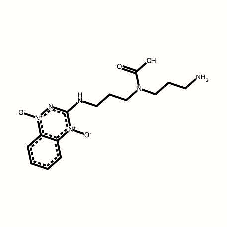 NCCCN(CCCNc1n[n+]([O-])c2ccccc2[n+]1[O-])C(=O)O